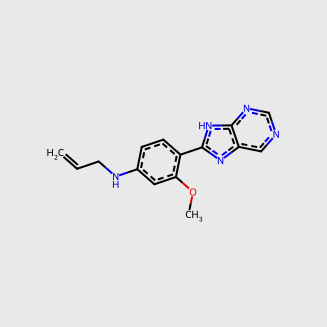 C=CCNc1ccc(-c2nc3cncnc3[nH]2)c(OC)c1